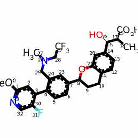 COc1cc(-c2ccc(C3CCc4ccc([C@H](O)[C@H](C)C(=O)O)cc4O3)cc2CN(C)CC(F)(F)F)c(F)cn1